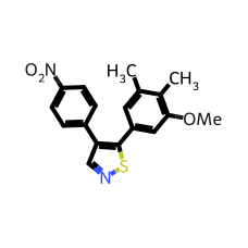 COc1cc(-c2sncc2-c2ccc([N+](=O)[O-])cc2)cc(C)c1C